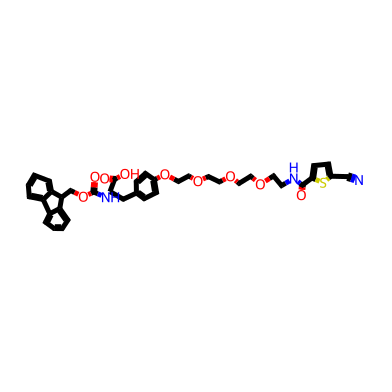 N#Cc1ccc(C(=O)NCCOCCOCCOCCOc2ccc(CC(NC(=O)OCC3c4ccccc4-c4ccccc43)C(=O)O)cc2)s1